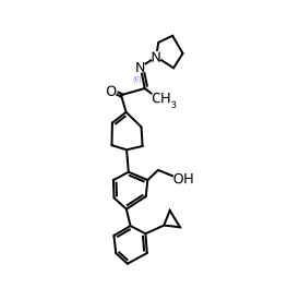 C/C(=N\N1CCCC1)C(=O)C1=CCC(c2ccc(-c3ccccc3C3CC3)cc2CO)CC1